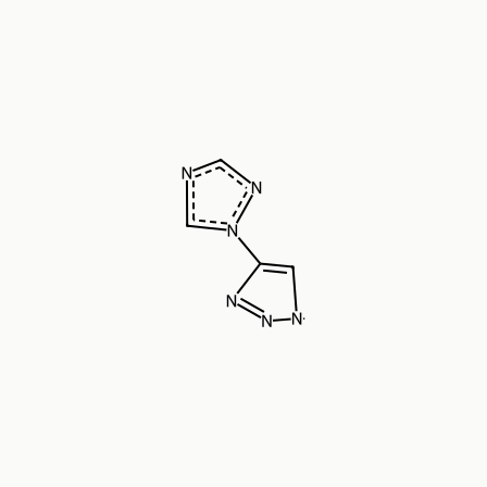 C1=C(n2cncn2)N=N[N]1